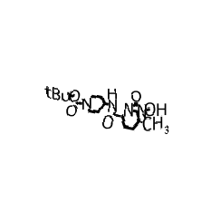 CC(C)(C)OC(=O)N1CCC(NC(=O)[C@@H]2CC[C@]3(C)CN2C(=O)N3O)CC1